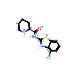 O=C(Nc1nc2c(Cl)cccc2s1)[C@@H]1CCCCN1